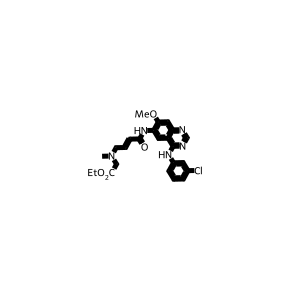 CCOC(=O)CN(C)C/C=C/C(=O)Nc1cc2c(Nc3cccc(Cl)c3)ncnc2cc1OC